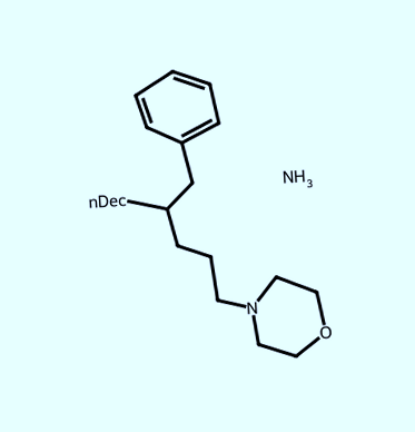 CCCCCCCCCCC(CCCN1CCOCC1)Cc1ccccc1.N